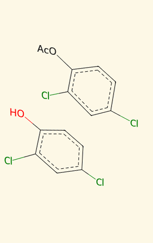 CC(=O)Oc1ccc(Cl)cc1Cl.Oc1ccc(Cl)cc1Cl